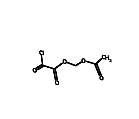 CC(=O)OCOC(=O)C(=O)Cl